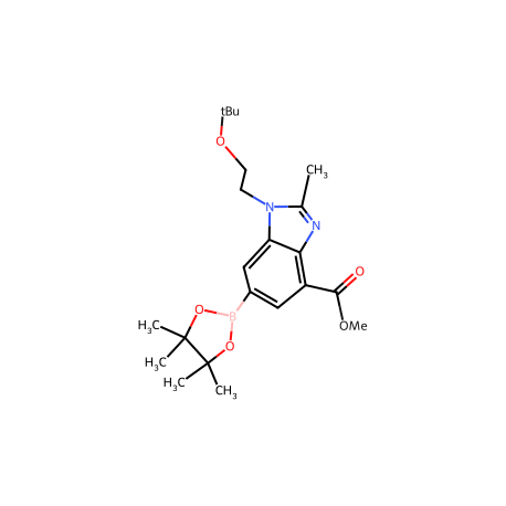 COC(=O)c1cc(B2OC(C)(C)C(C)(C)O2)cc2c1nc(C)n2CCOC(C)(C)C